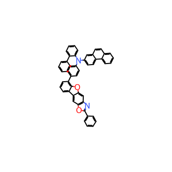 c1ccc(-c2nc3cc4oc5c(-c6ccc(N(c7ccc8c(ccc9ccccc98)c7)c7ccccc7-c7ccccc7)cc6)cccc5c4cc3o2)cc1